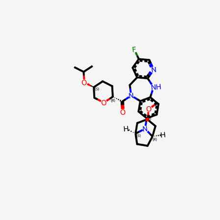 CO[C@H]1C[C@H]2CC[C@@H](C1)N2c1ccc2c(c1)N(C(=O)[C@H]1CC[C@H](OC(C)C)CO1)Cc1cc(F)cnc1N2